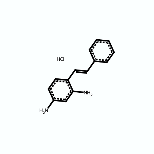 Cl.Nc1ccc(C=Cc2ccccc2)c(N)c1